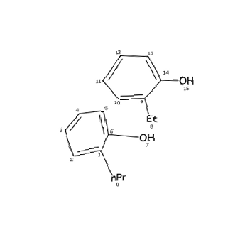 CCCc1ccccc1O.CCc1ccccc1O